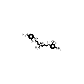 Cc1cc(N)ccc1NCCC[N+](C)(C)CCCNc1ccc(N)cc1C